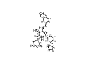 CCc1cccc(CNC[C@H](O)[C@H](Cc2cc(F)cc(F)c2)NC(=O)c2cccc(-c3nccs3)c2)c1